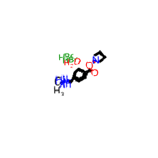 Br.Br.CNNCc1ccc(C(=O)ON2CCCC2)cc1.O